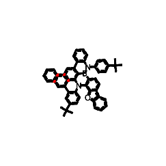 CC(C)(C)c1ccc(N2B3c4ccc5c(oc6ccccc65)c4N(c4ccc(C(C)(C)C)cc4-c4ccccc4)c4cc(-c5ccccc5)cc(c43)-c3ccccc32)cc1